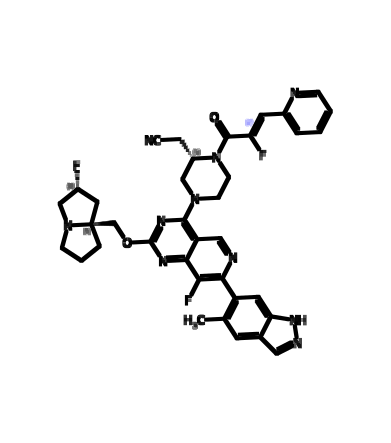 Cc1cc2cn[nH]c2cc1-c1ncc2c(N3CCN(C(=O)/C(F)=C/c4ccccn4)[C@@H](CC#N)C3)nc(OC[C@@]34CCCN3C[C@H](F)C4)nc2c1F